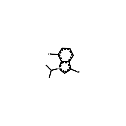 CC(C)n1cc(Br)c2cccc(Cl)c21